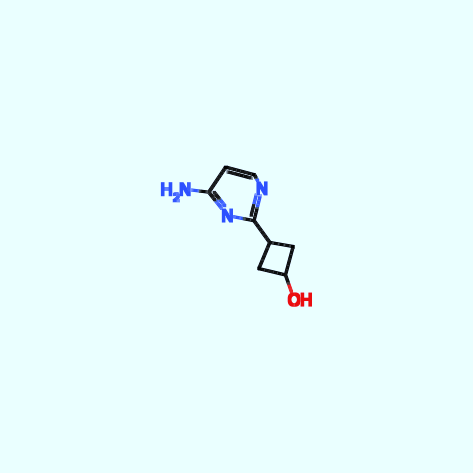 Nc1ccnc(C2CC(O)C2)n1